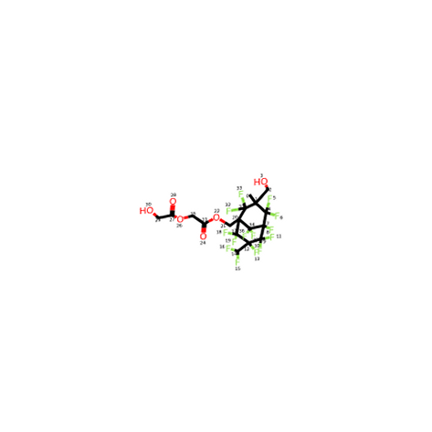 CC1(CO)C(F)(F)C2(F)C(F)(F)C(F)(C(F)F)C(F)(F)C(COC(=O)COC(=O)CO)(C1(F)F)C2(F)F